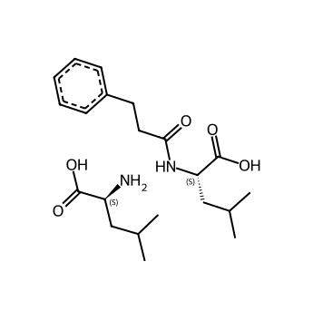 CC(C)C[C@H](N)C(=O)O.CC(C)C[C@H](NC(=O)CCc1ccccc1)C(=O)O